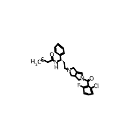 CSCC(=O)N[C@@H](CCN1CC2=CN(C(=O)c3c(F)cccc3Cl)CC2C1)c1ccccc1